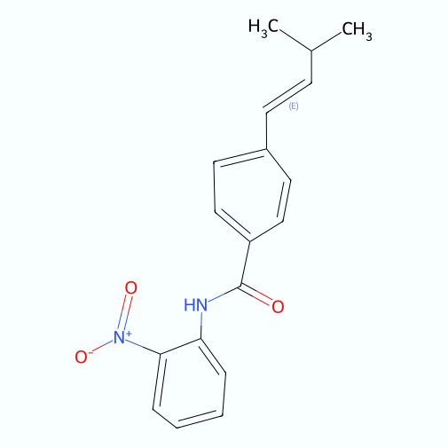 CC(C)/C=C/c1ccc(C(=O)Nc2ccccc2[N+](=O)[O-])cc1